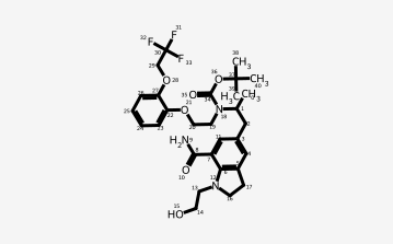 CC(Cc1cc2c(c(C(N)=O)c1)N(CCO)CC2)N(CCOc1ccccc1OCC(F)(F)F)C(=O)OC(C)(C)C